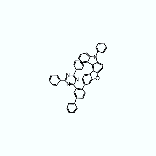 c1ccc(-c2ccc(-c3ccc4c(c3)oc3ccc5c(c6ccccc6n5-c5ccccc5)c34)c(-c3nc(-c4ccccc4)nc(-c4ccccc4)n3)c2)cc1